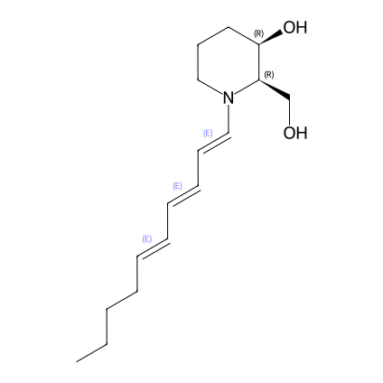 CCCC/C=C/C=C/C=C/N1CCC[C@@H](O)[C@H]1CO